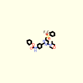 CC1COCCN1c1cc(CS(=O)(=O)c2ccccc2C(F)(F)F)nc(-c2ccc(NC(=O)Oc3ccccc3)cc2)n1